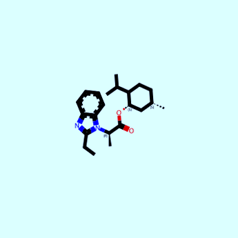 CCc1nc2ccccc2n1[C@H](C)C(=O)O[C@H]1C[C@@H](C)CCC1C(C)C